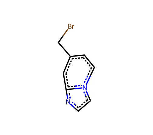 BrCc1ccn2ccnc2c1